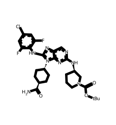 CC(C)(C)OC(=O)N1CCC[C@@H](Nc2ncc3nc(Nc4c(F)cc(Cl)cc4F)n([C@H]4CC[C@H](C(N)=O)CC4)c3n2)C1